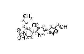 CCCCC1C=C(c2ncc(-c3cc(CO)on3)cc2Cl)CCN1C(=O)O